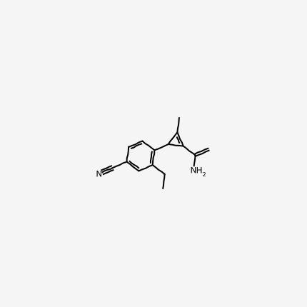 C=C(N)C1=C(C)C1c1ccc(C#N)cc1CC